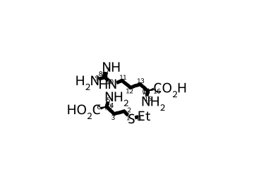 CCSCC[C@H](N)C(=O)O.N=C(N)NCCC[C@H](N)C(=O)O